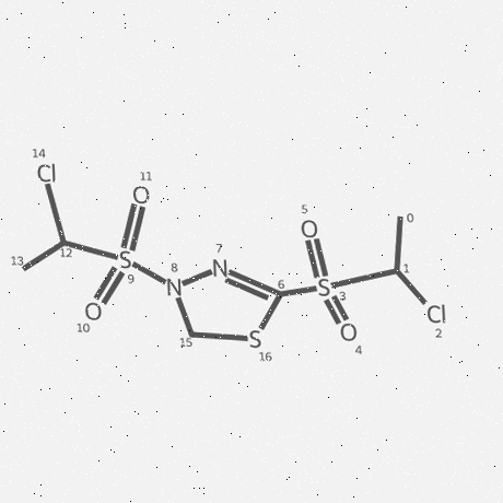 CC(Cl)S(=O)(=O)C1=NN(S(=O)(=O)C(C)Cl)CS1